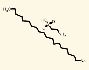 CCCCCCCCCCCCCCCCCC[CH2][Na].NCCS(=O)(=O)O